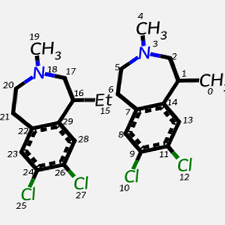 CC1CN(C)CCc2cc(Cl)c(Cl)cc21.CCC1CN(C)CCc2cc(Cl)c(Cl)cc21